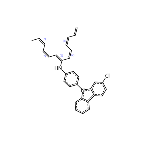 C=C\C=C/C=C\C(=C\C=C/C=C\C)Nc1ccc(-n2c3ccccc3c3ccc(Cl)cc32)cc1